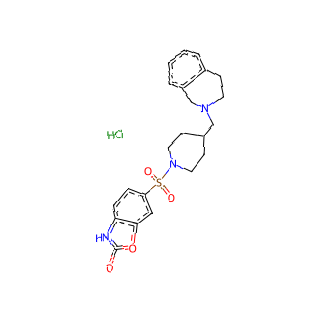 Cl.O=c1[nH]c2ccc(S(=O)(=O)N3CCC(CN4CCc5ccccc5C4)CC3)cc2o1